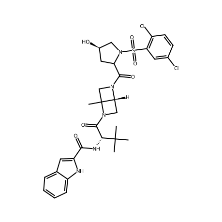 CC(C)(C)[C@H](NC(=O)c1cc2ccccc2[nH]1)C(=O)N1C[C@H]2N(C(=O)C3C[C@@H](O)CN3S(=O)(=O)c3cc(Cl)ccc3Cl)CC21C